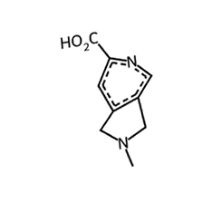 CN1Cc2cnc(C(=O)O)cc2C1